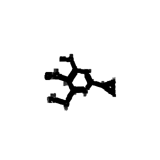 COc1nc(C2CC2)nc(OC(C)C)c1C=O